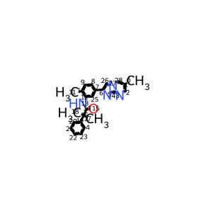 Cc1cnc2nc(-c3ccc(C)c(NC(=O)C(C)(C)c4ccccc4)c3)cn2c1